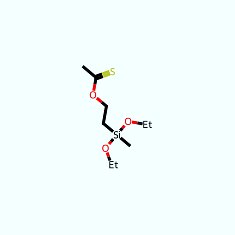 CCO[Si](C)(CCOC(C)=S)OCC